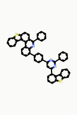 c1ccc(-c2nc(-c3ccc(-c4cccc5c4nc(-c4ccccc4)c4ccc6sc7ccccc7c6c45)cc3)cc(-c3cccc4sc5ccccc5c34)n2)cc1